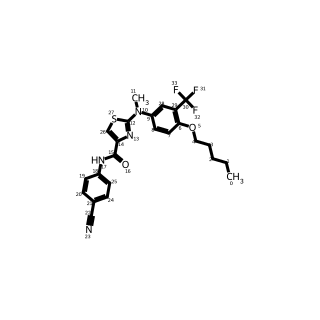 CCCCCOc1ccc(N(C)c2nc(C(=O)Nc3ccc(C#N)cc3)cs2)cc1C(F)(F)F